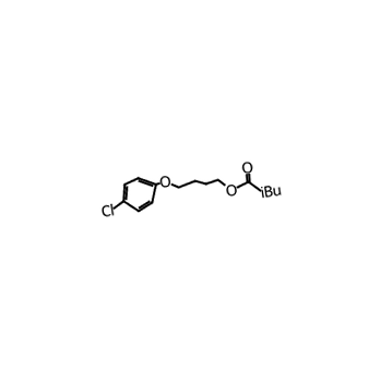 CCC(C)C(=O)OCCCCOc1ccc(Cl)cc1